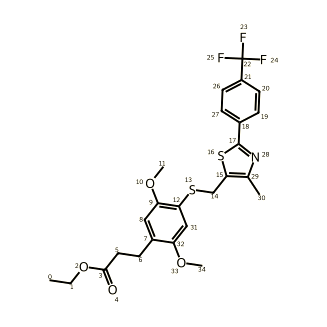 CCOC(=O)CCc1cc(OC)c(SCc2sc(-c3ccc(C(F)(F)F)cc3)nc2C)cc1OC